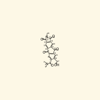 CN(C)C(=O)c1cc2c(=O)c3cc4c(=O)n(C)c(=O)c4cc3c(=O)c2cc1CO